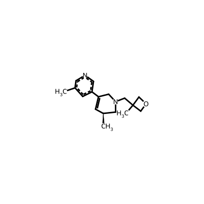 Cc1cncc(C2=C[C@H](C)CN(CC3(C)COC3)C2)c1